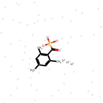 Cc1cc(C)c(C(=O)[PH]([O-])([O-])[O-])c(C)c1.[Li+].[Li+].[Li+]